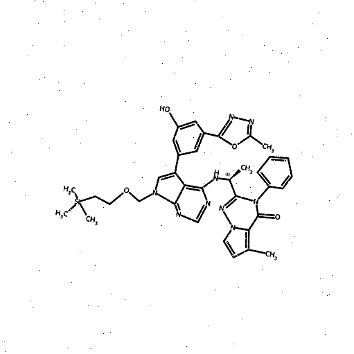 Cc1nnc(-c2cc(O)cc(-c3cn(COCC[Si](C)(C)C)c4ncnc(N[C@@H](C)c5nn6ccc(C)c6c(=O)n5-c5ccccc5)c34)c2)o1